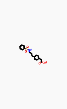 O=C(O)Cc1ccc(CCCNS(=O)(=O)c2ccccc2)cc1